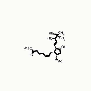 CCCCC(C)(C)[C@H](O)/C=C/[C@@H]1[C@@H](C/C=C\CCCC(=O)OC)[C@@H](SC(C)=O)C[C@H]1O